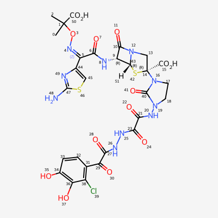 CC(C)(O/N=C(\C(=O)N[C@@H]1C(=O)N2C[C@@](C(=O)O)(N3CCN(NC(=O)C(=O)NNC(=O)C(=O)c4ccc(O)c(O)c4Cl)C3=O)S[C@H]12)c1csc(N)n1)C(=O)O